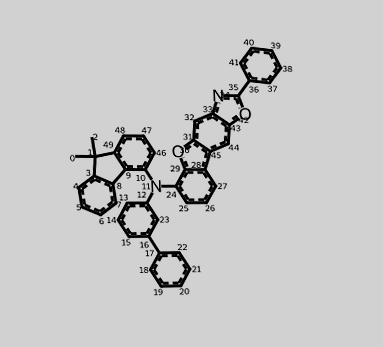 CC1(C)c2ccccc2-c2c(N(c3cccc(-c4ccccc4)c3)c3cccc4c3oc3cc5nc(-c6ccccc6)oc5cc34)cccc21